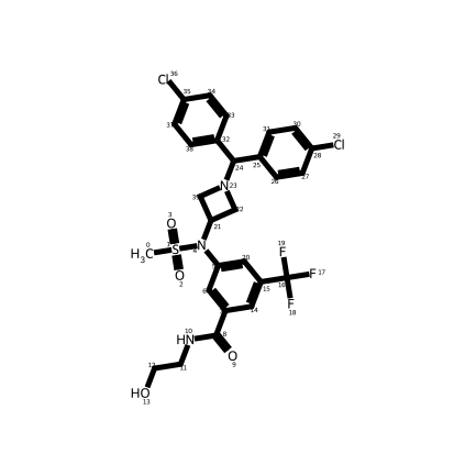 CS(=O)(=O)N(c1cc(C(=O)NCCO)cc(C(F)(F)F)c1)C1CN(C(c2ccc(Cl)cc2)c2ccc(Cl)cc2)C1